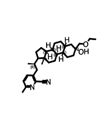 CCOC[C@@]1(O)CC[C@H]2[C@H](CC[C@@H]3[C@@H]2CC[C@]2(C)C([C@H](C)Cc4ccc(C)nc4C#N)CC[C@@H]32)C1